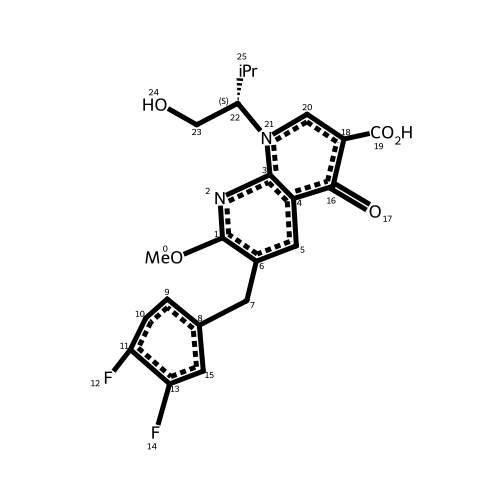 COc1nc2c(cc1Cc1ccc(F)c(F)c1)c(=O)c(C(=O)O)cn2[C@H](CO)C(C)C